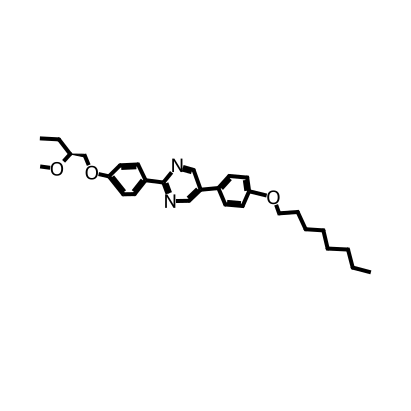 CCCCCCCCOc1ccc(-c2cnc(-c3ccc(OC[C@H](CC)OC)cc3)nc2)cc1